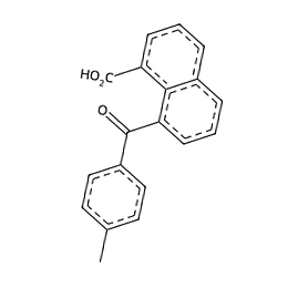 Cc1ccc(C(=O)c2cccc3cccc(C(=O)O)c23)cc1